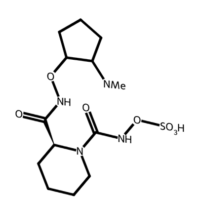 CNC1CCCC1ONC(=O)[C@@H]1CCCCN1C(=O)NOS(=O)(=O)O